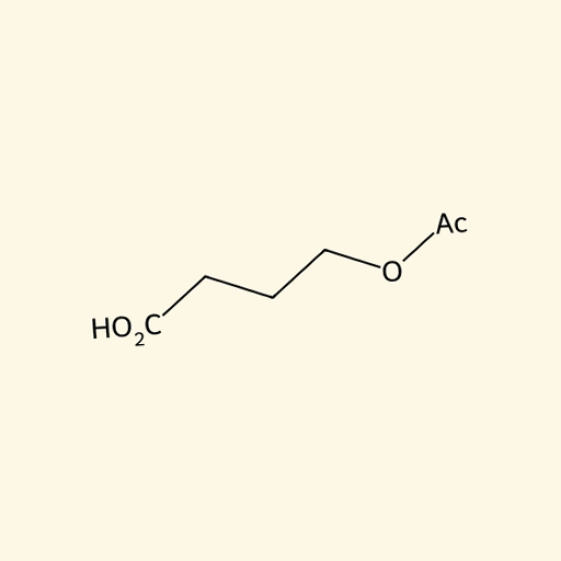 CC(=O)OCCCC(=O)O